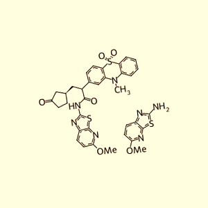 COc1ccc2nc(N)sc2n1.COc1ccc2nc(NC(=O)C(C[C@H]3CCC(=O)C3)c3ccc4c(c3)N(C)c3ccccc3S4(=O)=O)sc2n1